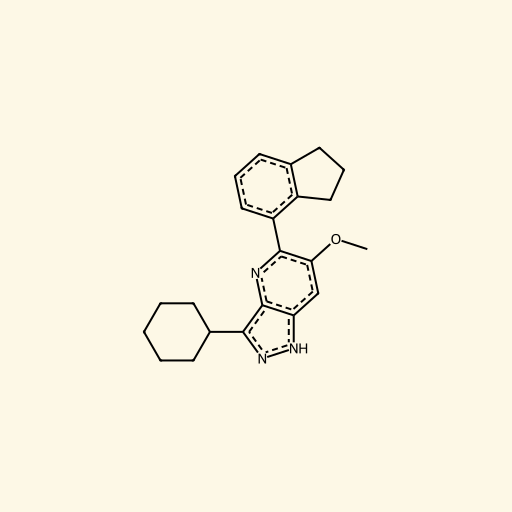 COc1cc2[nH]nc(C3CCCCC3)c2nc1-c1cccc2c1CCC2